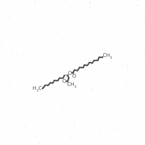 CCCCCCCCCCCCCC(=O)O[C@@H](CCCCCCCCCCC)CC(C)=O